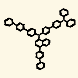 c1ccc(-c2ccc(-c3ccc(N(c4ccc(-c5ccc(N(c6ccccc6)c6ccccc6)cc5)cc4)c4ccc(-c5ccc(-c6ccccc6)cc5)c5ccccc45)cc3)cc2)cc1